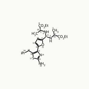 CCOC(=O)[C@H](C)NP(N[C@@H](C)C(=O)OCC)c1ccc(-c2nc(N)sc2CC(C)C)o1